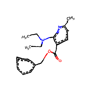 CCN(CC)c1nc(C)ccc1C(=O)OCc1ccccc1